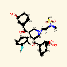 Cc1c(F)cccc1[C@@H]1[C@@H](C(=O)c2cccc(O)c2)CN(CCN(C)S(C)(=O)=O)C[C@H]1C(=O)c1cccc(O)c1